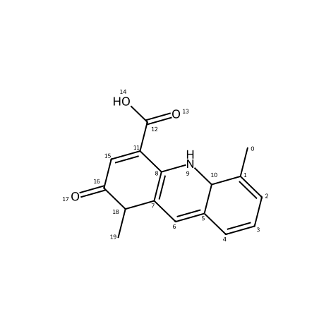 CC1=CC=CC2=CC3=C(NC12)C(C(=O)O)=CC(=O)C3C